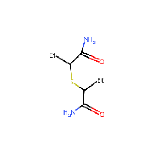 CCC(SC(CC)C(N)=O)C(N)=O